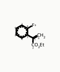 C=C(C(=O)OCC)c1ccccc1F